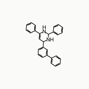 C1=C(c2ccccc2)NC(c2ccccc2)NC1c1cccc(-c2ccccc2)c1